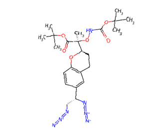 CC(C)(C)OC(=O)NO[C@](C)(C(=O)OC(C)(C)C)[C@H]1CCc2cc([C@@H](CN=[N+]=[N-])N=[N+]=[N-])ccc2O1